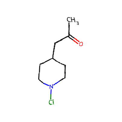 CC(=O)CC1CCN(Cl)CC1